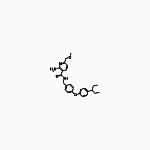 CCC(CC)c1ccc(Oc2ccc(CNC(=O)c3ccc(COC)nc3N)cc2)cc1